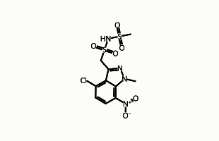 Cn1nc(CS(=O)(=O)NS(C)(=O)=O)c2c(Cl)ccc([N+](=O)[O-])c21